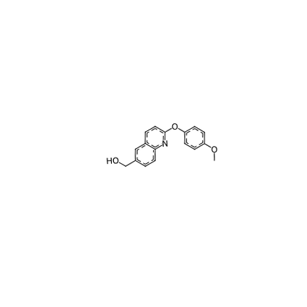 COc1ccc(Oc2ccc3cc(CO)ccc3n2)cc1